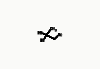 CCC(C)(S)CC(C)=O